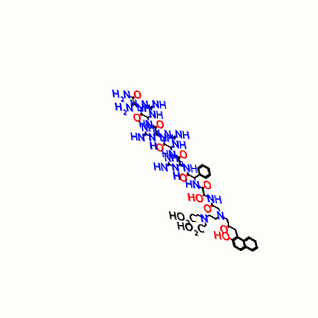 N=C(N)NC(NC(=O)C(NC(=N)N)NC(=O)C(NC(=N)N)NC(=O)C(NC(=N)N)NC(=O)C(NC(=O)C(O)NC(=O)CN(CCN(CC(=O)O)CC(=O)O)CC(=O)Cc1c(O)ccc2ccccc12)c1ccccc1)C(=O)NC(N)C(N)=O